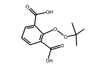 CC(C)(C)OOc1c(C(=O)O)cccc1C(=O)O